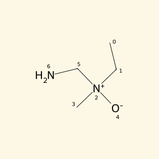 CC[N+](C)([O-])CN